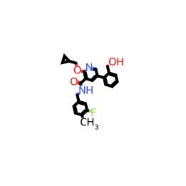 Cc1ccc(CNC(=O)c2cc(-c3ccccc3CO)cnc2OCC2CC2)cc1F